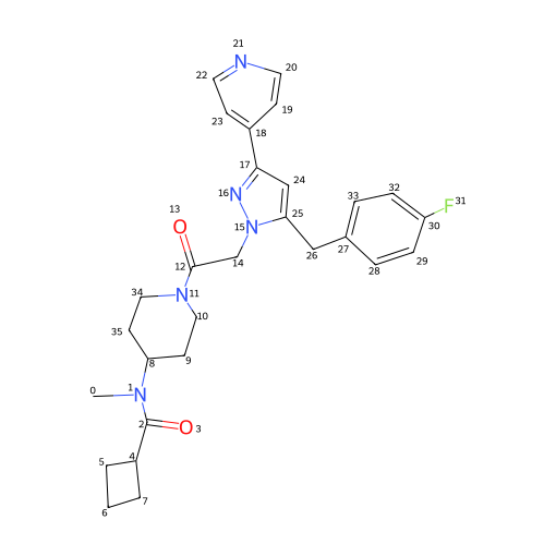 CN(C(=O)C1CCC1)C1CCN(C(=O)Cn2nc(-c3ccncc3)cc2Cc2ccc(F)cc2)CC1